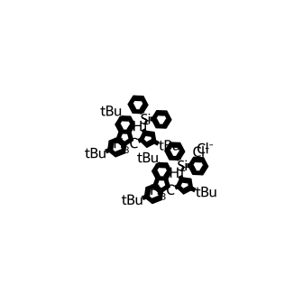 CC1C=C(C(C)(C)C)C=[C]1[Hf]([c]1cc(C(C)(C)C)cc2c1Cc1ccc(C(C)(C)C)cc1-2)=[Si](c1ccccc1)c1ccccc1.CC1C=C(C(C)(C)C)C=[C]1[Hf]([c]1cc(C(C)(C)C)cc2c1Cc1ccc(C(C)(C)C)cc1-2)=[Si](c1ccccc1)c1ccccc1.[Cl-].[Cl-]